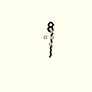 CCCCCCOCCOCC[n+]1ccc2c(c1)CCCC2.[Cl-]